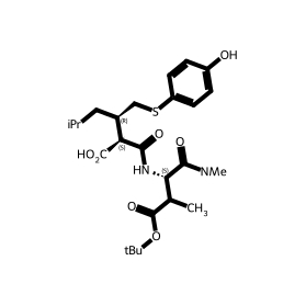 CNC(=O)[C@@H](NC(=O)[C@@H](C(=O)O)[C@H](CSc1ccc(O)cc1)CC(C)C)C(C)C(=O)OC(C)(C)C